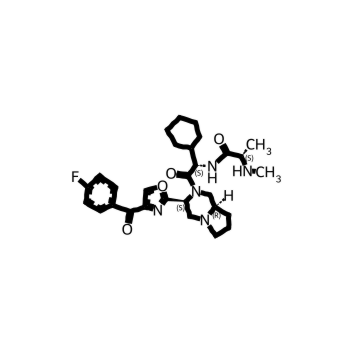 CN[C@@H](C)C(=O)N[C@H](C(=O)N1C[C@H]2CCCN2C[C@H]1c1nc(C(=O)c2ccc(F)cc2)co1)C1CCCCC1